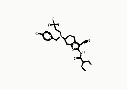 CCC(CC)C(=O)Nc1sc2c(c1C#N)CCC(N(CCC(F)(F)F)Cc1ccc(Cl)cc1)C2